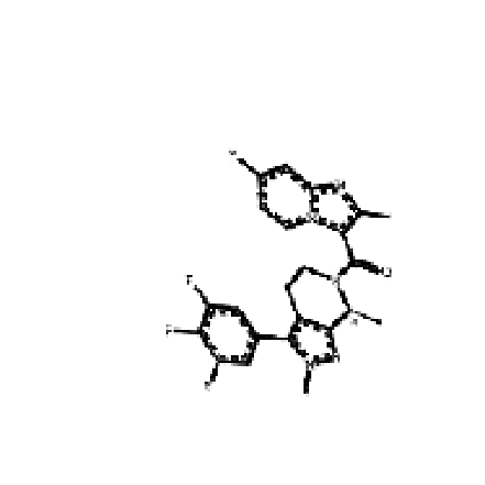 Cc1nc2cc(F)ccn2c1C(=O)N1CCc2c(nn(C)c2-c2cc(F)c(F)c(F)c2)[C@@H]1C